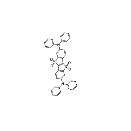 O=S1(=O)C2=C(c3ccc(N(c4ccccc4)c4ccccc4)cc31)S(=O)(=O)c1cc(N(c3ccccc3)c3ccccc3)ccc12